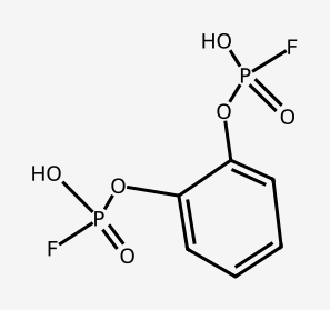 O=P(O)(F)Oc1ccccc1OP(=O)(O)F